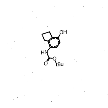 CC(C)(C)OC(=O)Nc1ccc(O)c2c1CCC2